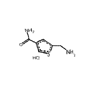 Cl.NCc1cc(C(N)=O)cs1